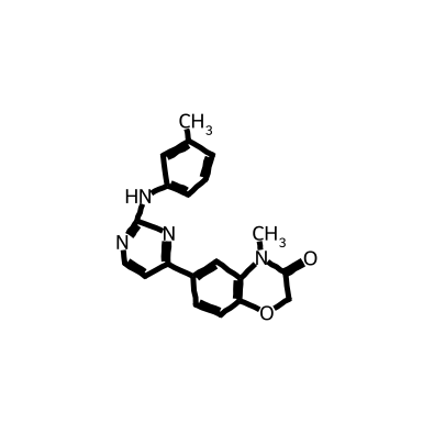 Cc1cccc(Nc2nccc(-c3ccc4c(c3)N(C)C(=O)CO4)n2)c1